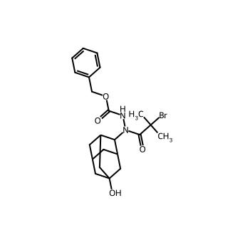 CC(C)(Br)C(=O)N(NC(=O)OCc1ccccc1)C1C2CC3CC1CC(O)(C3)C2